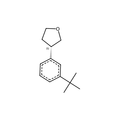 CC(C)(C)c1cccc([C@@H]2CCOC2)c1